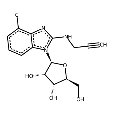 C#CCNc1nc2c(Cl)cccc2n1[C@H]1O[C@@H](CO)[C@H](O)[C@@H]1O